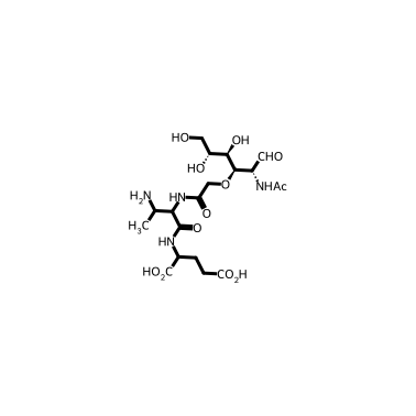 CC(=O)N[C@@H](C=O)[C@@H](OCC(=O)NC(C(=O)NC(CCC(=O)O)C(=O)O)C(C)N)[C@H](O)[C@H](O)CO